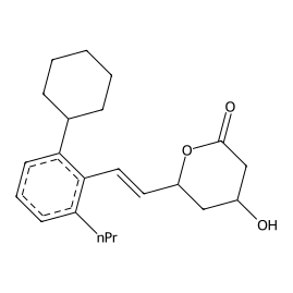 CCCc1cccc(C2CCCCC2)c1C=CC1CC(O)CC(=O)O1